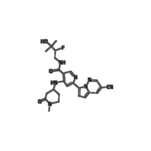 CN1CCC(Nc2cc(-c3ccc4cc(C#N)cnn34)ncc2C(=O)NCC(F)C(C)(C)O)CC1=O